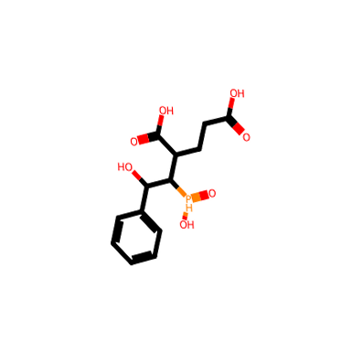 O=C(O)CCC(C(=O)O)C(C(O)c1ccccc1)[PH](=O)O